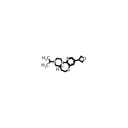 CC(C)N1CCN2c3ncc(C4COC4)cc3SCC[C@@H]2C1